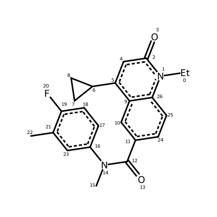 CCn1c(=O)cc(C2CC2)c2cc(C(=O)N(C)c3ccc(F)c(C)c3)ccc21